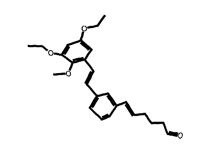 CCOc1cc(C=Cc2cccc(C=CCCCC=O)c2)c(OC)c(OCC)c1